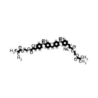 C=C(C)C(=O)OCCOC(=O)/C(C#N)=C/c1ccc(N(C)c2ccc(Cc3ccc(N(C)c4ccc(/C=C(\C#N)C(=O)OCCOC(=O)C(=C)C)cc4)cc3)cc2)cc1